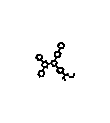 C=N/C(=N\C=C/C)c1ccc(-c2cc(-c3ccc(-c4ccccc4)cc3)cc(-c3nc(-c4ccccc4)nc(-c4ccccc4)n3)c2)cc1